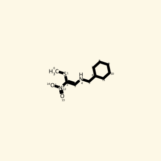 CSC(=CNCC1CCCCC1)[N+](=O)[O-]